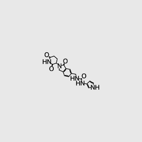 O=C1CCC(N2Cc3ccc(CNC(=O)Nc4cc[nH]c4)cc3C2=O)C(=O)N1